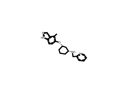 Cc1c(O[C@H]2CCC[C@@H](NCc3ccccn3)C2)ccc2[nH]ncc12